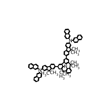 CC1(C)C2=c3c(c4cc(-c5ccc6c(c5)C(C)(C)c5cc(N(c7ccc8ccccc8c7)c7ccc8ccccc8c7)ccc5-6)cc5c4n3-c3c1cccc3C5(C)C)=CC(c1ccc3c(c1)C(C)(C)c1cc(N(c4ccc5ccccc5c4)c4ccc5ccccc5c4)ccc1-3)C2